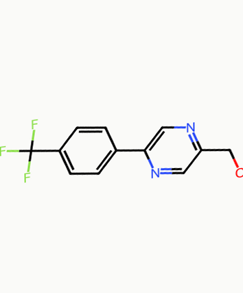 OCc1cnc(-c2ccc(C(F)(F)F)cc2)cn1